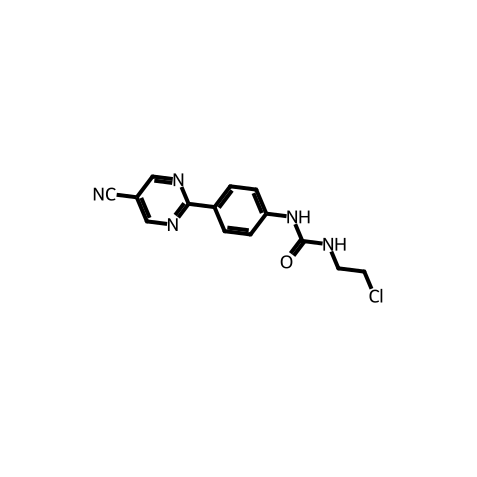 N#Cc1cnc(-c2ccc(NC(=O)NCCCl)cc2)nc1